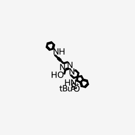 CC(C)(C)[S+]([O-])N[C@@H]1c2ccccc2CC12CCN(c1ncc(C#CCNc3ccccc3)nc1CO)CC2